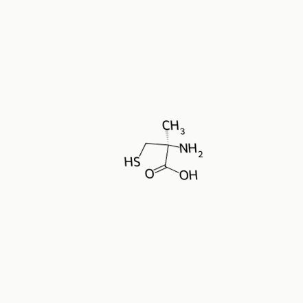 C[C@@](N)(CS)C(=O)O